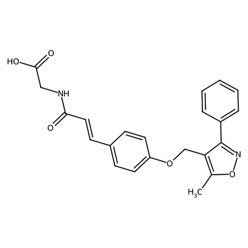 Cc1onc(-c2ccccc2)c1COc1ccc(C=CC(=O)NCC(=O)O)cc1